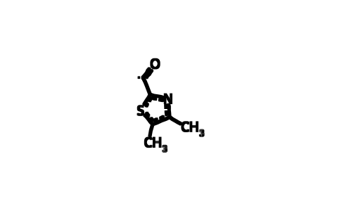 Cc1nc([C]=O)sc1C